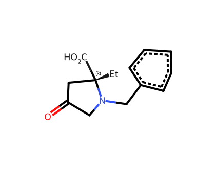 CC[C@]1(C(=O)O)CC(=O)CN1Cc1ccccc1